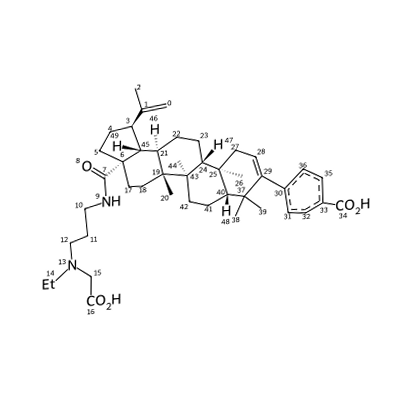 C=C(C)[C@@H]1CC[C@]2(C(=O)NCCCN(CC)CC(=O)O)CC[C@]3(C)[C@H](CC[C@@H]4[C@@]5(C)CC=C(c6ccc(C(=O)O)cc6)C(C)(C)[C@@H]5CC[C@]43C)[C@@H]12